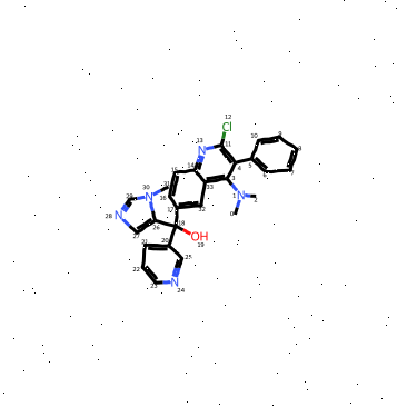 CN(C)c1c(-c2ccccc2)c(Cl)nc2ccc(C(O)(c3cccnc3)c3cncn3C)cc12